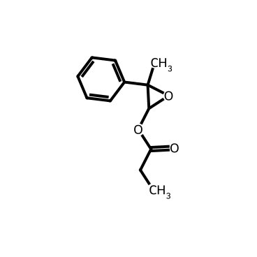 CCC(=O)OC1OC1(C)c1ccccc1